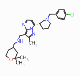 Cc1nn2c([C@H]3CCCN(Cc4ccc(Cl)cc4)C3)ccnc2c1CNC[C@@H]1CCOC(C)(C)C1